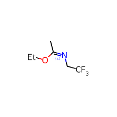 CCO/C(C)=N\CC(F)(F)F